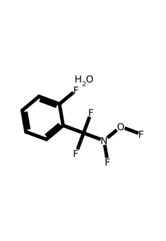 FON(F)C(F)(F)c1ccccc1F.O